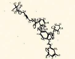 Cc1cc(C)nc(C=Cc2nn(C3CCCCO3)c3cc(Nc4ncccc4C(=O)NCC#CCO[Si](C)(C)C(C)(C)C)ccc23)c1